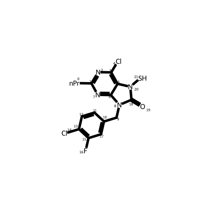 CCCc1nc(Cl)c2c(n1)n(Cc1ccc(Cl)c(F)c1)c(=O)n2S